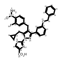 N[S+]([O-])c1ccc(Cc2c(-c3cccc(OCc4ccccc4)c3)nn(-c3nc(C(=O)O)cs3)c2CC2CC2)cc1F